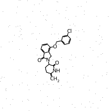 C=C1CCC(N2Cc3c(OCc4cccc(Cl)c4)cccc3C2=O)C(=O)N1